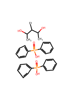 CCC(C(C)O)C(C)O.O=P(O)(c1ccccc1)c1ccccc1.O=P(O)(c1ccccc1)c1ccccc1